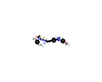 Cc1ccc(C(C)C)c(N2C(=O)CS/C2=N\C(=S)NCCC#Cc2ccc(-c3ncn(-c4ccc(OC(F)(F)F)cc4)n3)cc2)c1